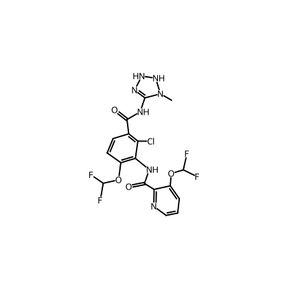 CN1NNN=C1NC(=O)c1ccc(OC(F)F)c(NC(=O)c2ncccc2OC(F)F)c1Cl